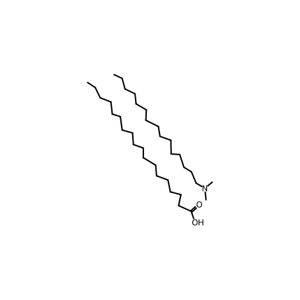 CCCCCCCCCCCCCCCCCC(=O)O.CCCCCCCCCCCCCCCN(C)C